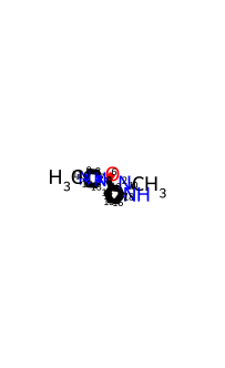 Cc1nc2c(C(=O)N3CCN(C)CC3)cccc2[nH]1